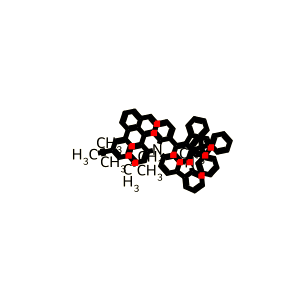 CC(C)(C)c1cc(-c2cccc3cccc(-c4ccccc4N(C4=CC5(C)C(C=C4)c4ccccc4N5c4ccccc4)c4ccccc4-c4cccc5c4-c4ccccc4C5(c4ccccc4)c4ccccc4)c23)cc(C(C)(C)C)c1